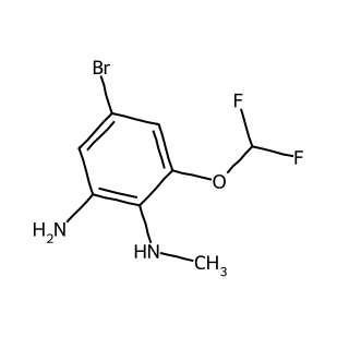 CNc1c(N)cc(Br)cc1OC(F)F